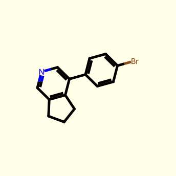 Brc1ccc(-c2cncc3c2CCC3)cc1